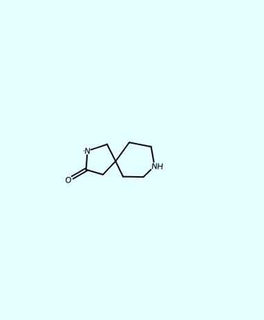 O=C1CC2(CCNCC2)C[N]1